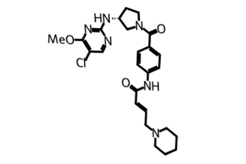 COc1nc(N[C@@H]2CCN(C(=O)c3ccc(NC(=O)/C=C/CN4CCCCC4)cc3)C2)ncc1Cl